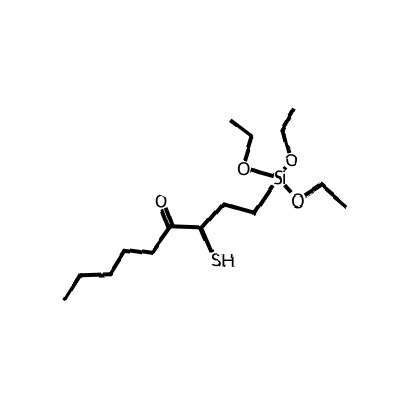 CCCCCC(=O)C(S)CC[Si](OCC)(OCC)OCC